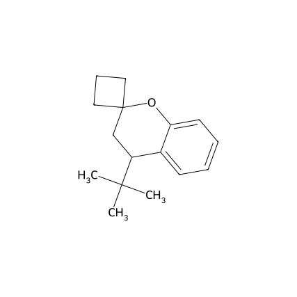 CC(C)(C)C1CC2(CCC2)Oc2ccccc21